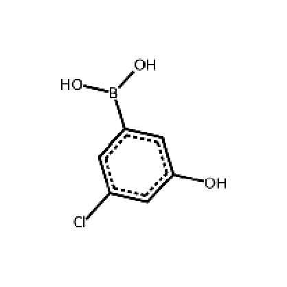 OB(O)c1cc(O)cc(Cl)c1